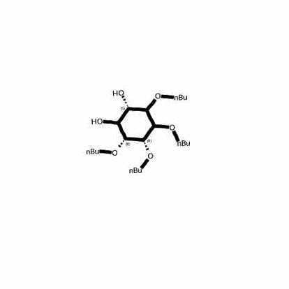 CCCCOC1C(OCCCC)[C@H](OCCCC)[C@H](OCCCC)C(O)[C@@H]1O